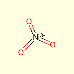 [O]=[Ni-3](=[O])=[O]